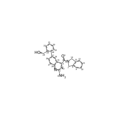 Nc1nc(C(=O)N2Cc3ccccc3C2)c2cc(-c3ccccc3CO)ccc2n1